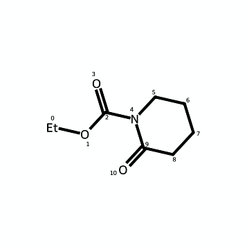 CCOC(=O)N1CCCCC1=O